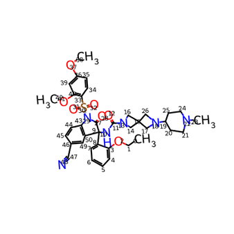 CCOc1ccccc1C1(NC(=O)N2CC3(C2)CN(C2CCN(C)CC2)C3)C(=O)N(S(=O)(=O)c2ccc(OC)cc2OC)c2ccc(C#N)cc21